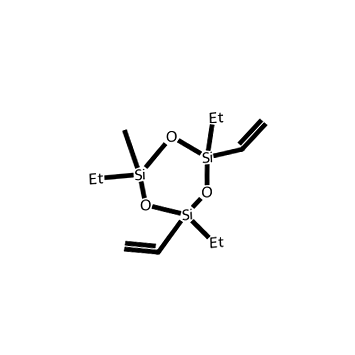 C=C[Si]1(CC)O[Si](C)(CC)O[Si](C=C)(CC)O1